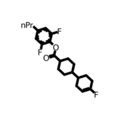 CCCc1cc(F)c(OC(=O)C2CCC(C3CC=C(F)CC3)CC2)c(F)c1